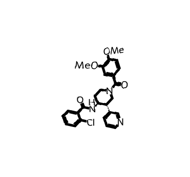 COc1ccc(C(=O)N2CC[C@H](NC(=O)c3ccccc3Cl)[C@@H](c3cccnc3)C2)cc1OC